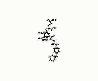 CCCC(=O)OCC(CO)Oc1cc(C(=O)NNC(=S)Nc2ccc(CN3CCOCC3)cc2)c(OC)c(OC)c1OC